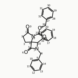 O=C1CCC2(C(=O)N(Cc3ccccc3)C2c2ccccc2)N1C(=O)OCc1ccccc1